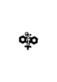 CC(C)(C)N1c2ccccc2[SH](C)(=O)c2ccccc21